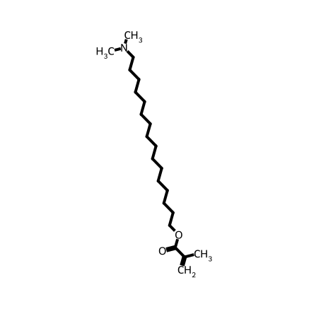 C=C(C)C(=O)OCCCCCCCCCCCCCCCCN(C)C